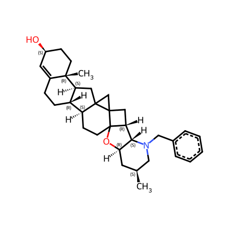 C[C@H]1C[C@H]2OC34CC[C@H]5[C@@H]6CCC7=C[C@@H](O)CC[C@]7(C)[C@H]6CC56CC63C[C@@H]4[C@@H]2N(Cc2ccccc2)C1